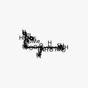 COC(=O)C1=C(COCc2cn(CCOCCOCCNC(=O)[C@H](CCCCNC(=O)CCCC[C@@H]3SC[C@@H]4NC(=O)N[C@@H]43)NC(=O)CCC3(C)N=N3)nn2)NC(c2ccncc2)=NC1c1ccc(F)cc1Cl